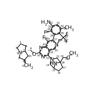 C=C1CN2CCC[C@@]2(COc2nc(N3CC4CCC(COC)(C3)N4)c3cnc(-c4c(F)c(N)cc(C)c4C(F)(F)F)c(F)c3n2)C1